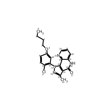 CCCCOc1ccc(Cl)c(-n2nc(C)c3c(=O)[nH]c4cccnc4c32)c1